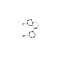 COC(=O)c1ccc2c(c1)C(c1cc(C#N)ccc1F)=CCC2